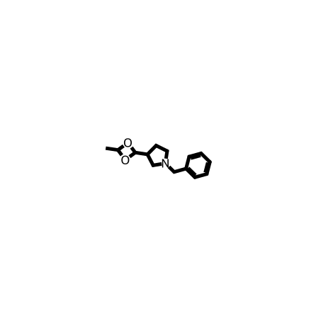 CC1OC(C2CCN(Cc3ccccc3)C2)O1